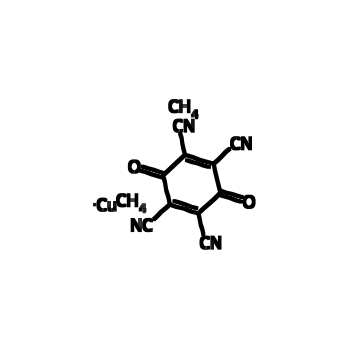 C.C.N#CC1=C(C#N)C(=O)C(C#N)=C(C#N)C1=O.[Cu]